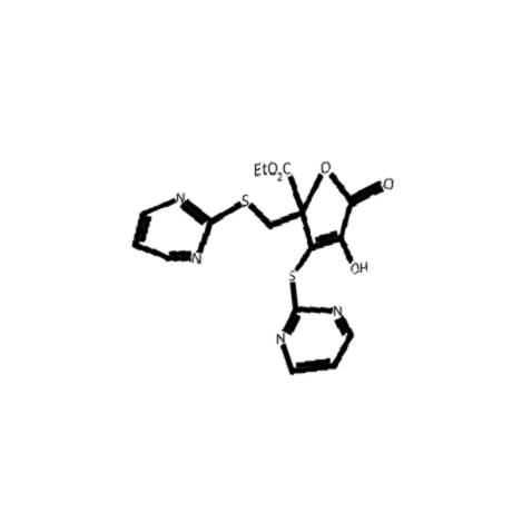 CCOC(=O)C1(CSc2ncccn2)OC(=O)C(O)=C1Sc1ncccn1